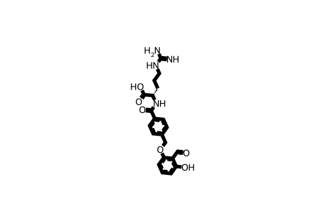 N=C(N)NCCC[C@H](NC(=O)c1ccc(COc2cccc(O)c2C=O)cc1)C(=O)O